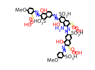 COc1ccc(N=Nc2c(S(=O)(=O)O)cc3cc(N=Nc4c(S(=O)(=O)O)cc5cc(SOOO)c(N=Nc6cc7c(O)c(N=Nc8ccc(OC)cc8S(=O)(=O)O)c(SOOO)cc7cc6S(=O)(=O)O)c(N)c5c4O)ccc3c2O)c(SOOO)c1